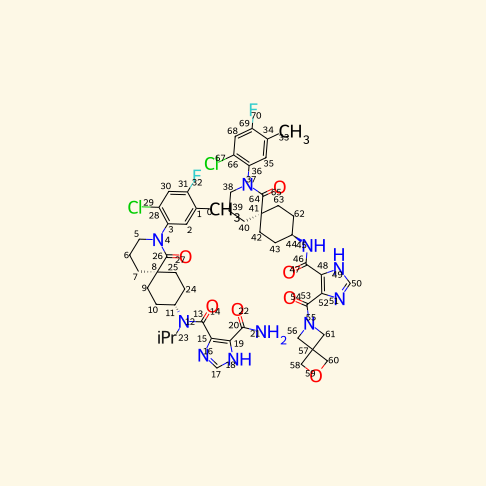 Cc1cc(N2CCC[C@]3(CC[C@@H](N(C(=O)c4nc[nH]c4C(N)=O)C(C)C)CC3)C2=O)c(Cl)cc1F.Cc1cc(N2CCC[C@]3(CC[C@H](NC(=O)c4[nH]cnc4C(=O)N4CC5(COC5)C4)CC3)C2=O)c(Cl)cc1F